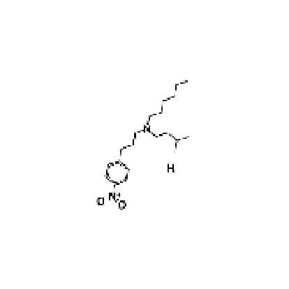 CCCCCCN(CCCc1ccc([N+](=O)[O-])cc1)CCC(C)C.I